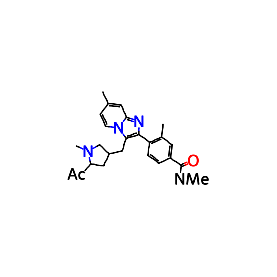 CNC(=O)c1ccc(-c2nc3cc(C)ccn3c2CC2CC(C(C)=O)N(C)C2)c(C)c1